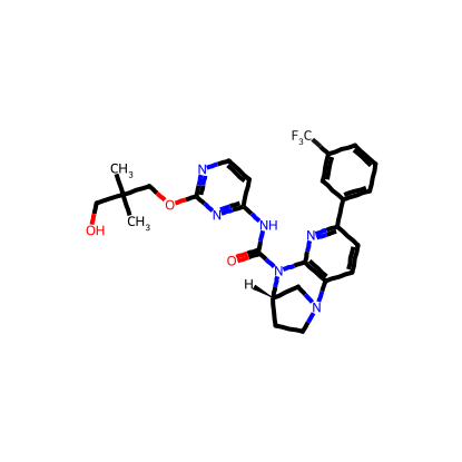 CC(C)(CO)COc1nccc(NC(=O)N2c3nc(-c4cccc(C(F)(F)F)c4)ccc3N3CC[C@H]2C3)n1